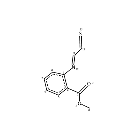 COC(=O)c1ccccc1N=CC=S